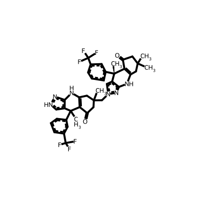 CC1(C)CC(=O)C2=C(C1)Nc1nn(CC3(C)CC(=O)C4=C(C3)Nc3n[nH]cc3C4(C)c3cccc(C(F)(F)F)c3)cc1[C@]2(C)c1cccc(C(F)(F)F)c1